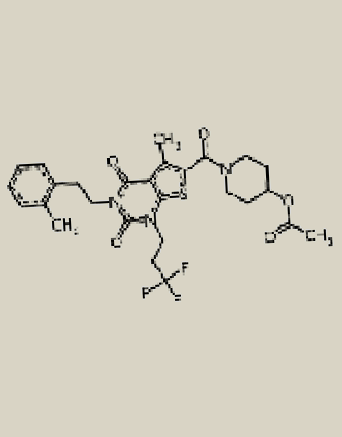 CC(=O)OC1CCN(C(=O)c2sc3c(c2C)c(=O)n(CCc2ccccc2C)c(=O)n3CCC(F)(F)F)CC1